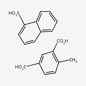 Cc1ccc(C(=O)O)cc1C(=O)O.O=S(=O)(O)c1cccc2ccccc12